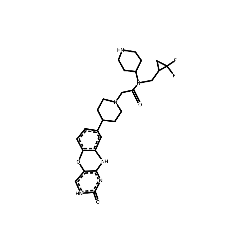 O=C(CN1CCC(c2ccc3c(c2)Nc2nc(=O)[nH]cc2O3)CC1)N(CC1CC1(F)F)C1CCNCC1